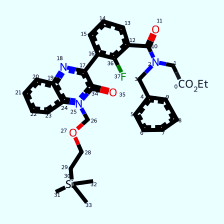 CCOC(=O)CN(Cc1ccccc1)C(=O)c1cccc(-c2nc3ccccc3n(COCC[Si](C)(C)C)c2=O)c1F